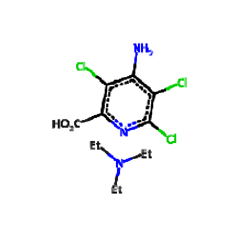 CCN(CC)CC.Nc1c(Cl)c(Cl)nc(C(=O)O)c1Cl